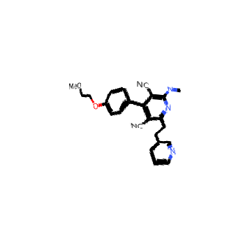 C=Nc1nc(CCc2cccnc2)c(C#N)c(-c2ccc(OCCOC)cc2)c1C#N